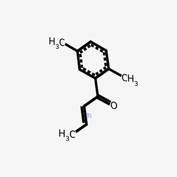 C/C=C/C(=O)c1cc(C)ccc1C